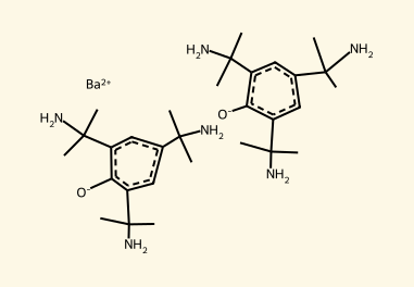 CC(C)(N)c1cc(C(C)(C)N)c([O-])c(C(C)(C)N)c1.CC(C)(N)c1cc(C(C)(C)N)c([O-])c(C(C)(C)N)c1.[Ba+2]